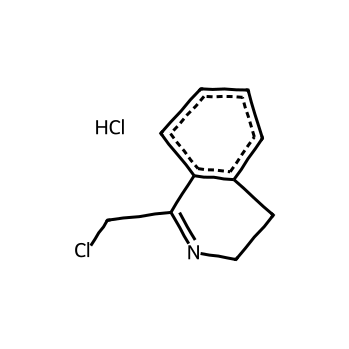 Cl.ClCC1=NCCc2ccccc21